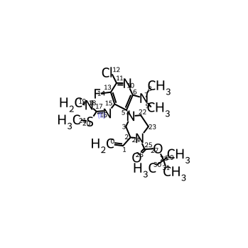 C=CC1CN(c2c(N(C)C)nc(Cl)c(F)c2/N=C(\N=C)SC)CCN1C(=O)OC(C)(C)C